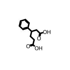 O=C(O)CCC(CC(=O)O)c1ccccc1